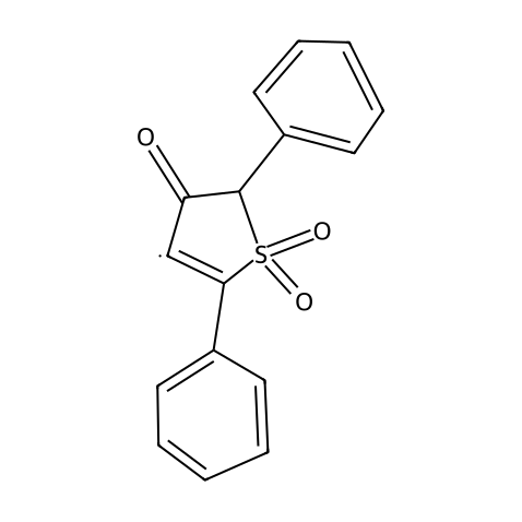 O=C1[C]=C(c2ccccc2)S(=O)(=O)C1c1ccccc1